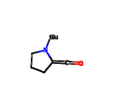 CC(C)(C)N1CCCC1=C=O